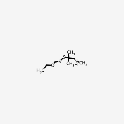 CCOCSSC(C)(C)CNC